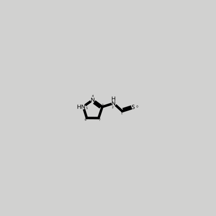 S=CNC1=NNCC1